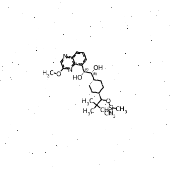 COc1cnc2cccc([C@@H](O)[C@H](O)[C@H]3CC[C@H](C(O[SiH](C)C)C(C)(C)C)CC3)c2n1